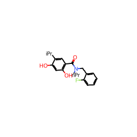 CCCN(Cc1ccccc1F)C(=O)c1cc(C(C)C)c(O)cc1O